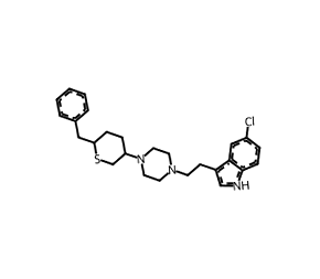 Clc1ccc2[nH]cc(CCN3CCN(C4CCC(Cc5ccccc5)SC4)CC3)c2c1